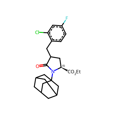 CCOC(=O)[C@@H]1CC(Cc2ccc(F)cc2Cl)C(=O)N1C12CC3CC(CC(C3)C1)C2